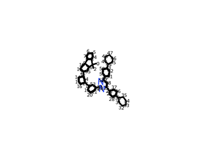 CC1(C)c2ccccc2-c2ccc(-c3cccc(-c4cccc(-c5nc(-c6ccc(C7CCCCC7)cc6)cc(-c6ccc(C7CCCCC7)cc6)n5)c4)c3)cc21